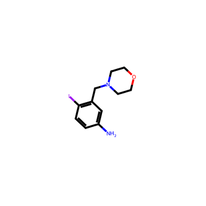 Nc1ccc(I)c(CN2CCOCC2)c1